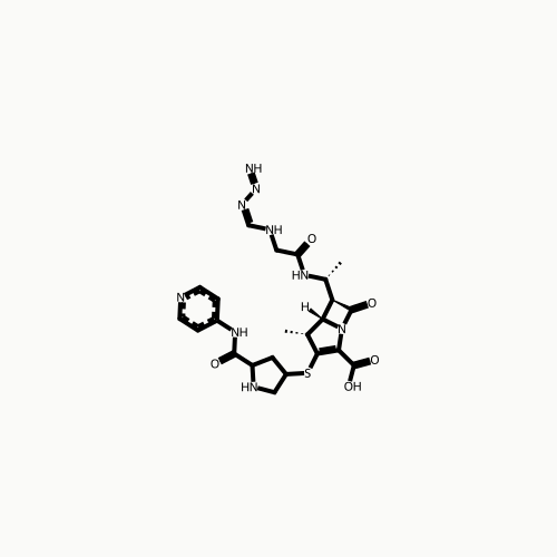 C[C@@H](NC(=O)CN/C=N\N=N)[C@H]1C(=O)N2C(C(=O)O)=C(SC3CNC(C(=O)Nc4ccncc4)C3)[C@H](C)[C@H]12